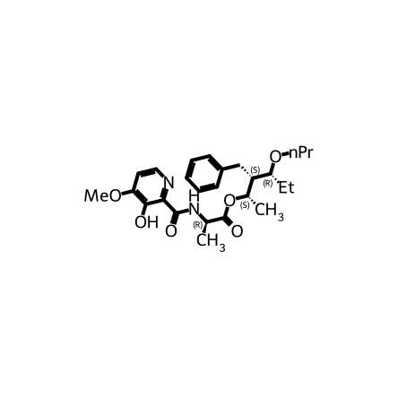 CCCO[C@H](CC)[C@@H](Cc1ccccc1)[C@H](C)OC(=O)[C@@H](C)NC(=O)c1nccc(OC)c1O